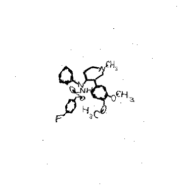 COc1ccc(C2CN(C)CCC2N(NS(=O)(=O)c2ccc(F)cc2)c2ccccc2)cc1OC